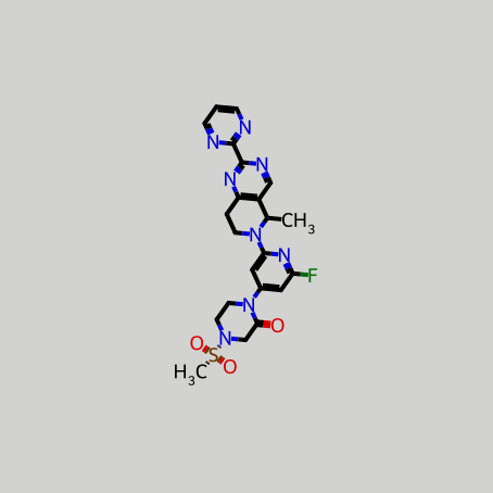 CC1c2cnc(-c3ncccn3)nc2CCN1c1cc(N2CCN(S(C)(=O)=O)CC2=O)cc(F)n1